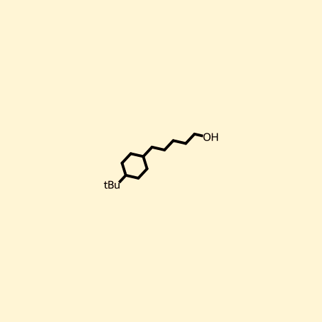 CC(C)(C)C1CCC(CCCCCO)CC1